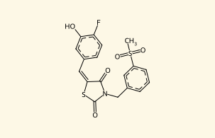 CS(=O)(=O)c1cccc(CN2C(=O)SC(=Cc3ccc(F)c(O)c3)C2=O)c1